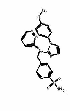 NS(=O)(=O)c1ccc(CN(c2cccnn2)c2nccn2-c2ccc(OC(F)(F)F)cc2)cc1